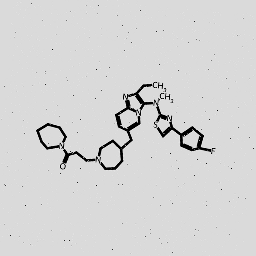 CCc1nc2ccc(CC3CCCN(CCC(=O)N4CCCCCC4)CC3)cn2c1N(C)c1nc(-c2ccc(F)cc2)cs1